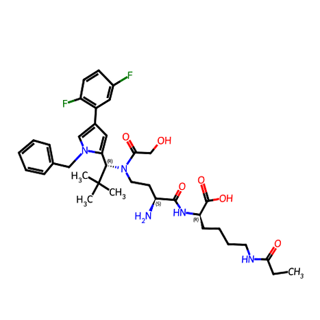 CCC(=O)NCCCC[C@@H](NC(=O)[C@@H](N)CCN(C(=O)CO)[C@@H](c1cc(-c2cc(F)ccc2F)cn1Cc1ccccc1)C(C)(C)C)C(=O)O